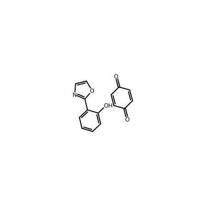 O=C1C=CC(=O)C=C1.Oc1ccccc1-c1ncco1